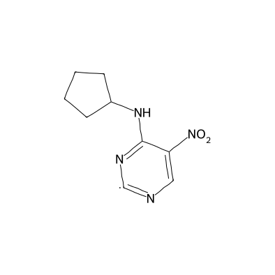 O=[N+]([O-])c1cn[c]nc1NC1CCCC1